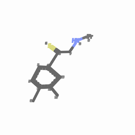 Cc1ccc(C(=S)CNC(C)C)cc1C